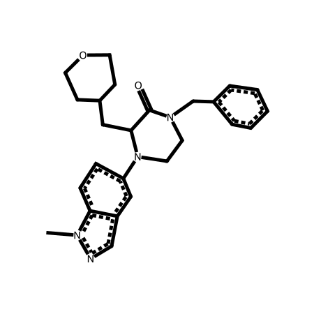 Cn1ncc2cc(N3CCN(Cc4ccccc4)C(=O)C3CC3CCOCC3)ccc21